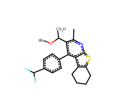 Cc1nc2sc3c(c2c(-c2ccc(C(F)F)cc2)c1C(OC(C)(C)C)C(=O)O)CCCC3